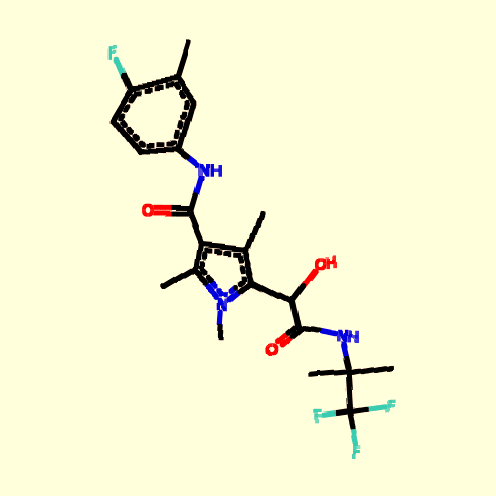 Cc1cc(NC(=O)c2c(C)c(C(O)C(=O)NC(C)(C)C(F)(F)F)n(C)c2C)ccc1F